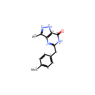 CSc1ccc(Cc2nc3c(C(C)C)n[nH]c3c(=O)[nH]2)cc1